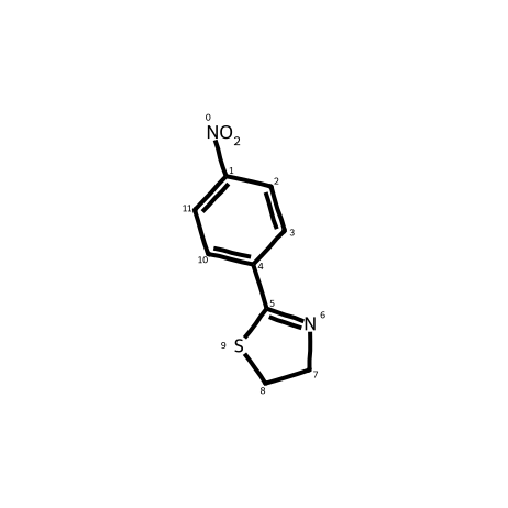 O=[N+]([O-])c1ccc(C2=NCCS2)cc1